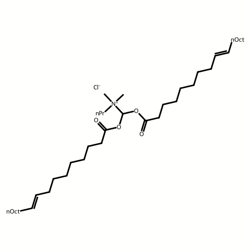 CCCCCCCCC=CCCCCCCCC(=O)OC(OC(=O)CCCCCCCC=CCCCCCCCC)[N+](C)(C)CCC.[Cl-]